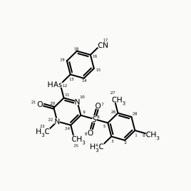 Cc1cc(C)c(S(=O)(=O)c2nc([AsH]c3ccc(C#N)cc3)c(=O)n(C)c2C)c(C)c1